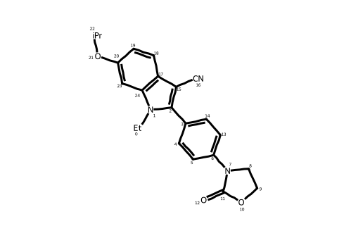 CCn1c(-c2ccc(N3CCOC3=O)cc2)c(C#N)c2ccc(OC(C)C)cc21